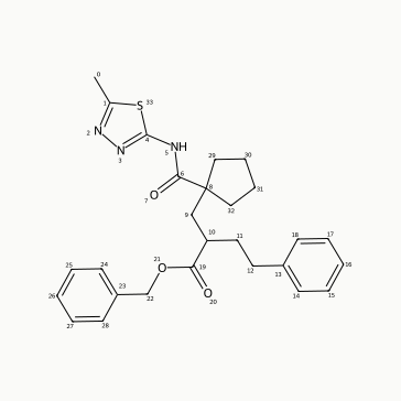 Cc1nnc(NC(=O)C2(CC(CCc3ccccc3)C(=O)OCc3ccccc3)CCCC2)s1